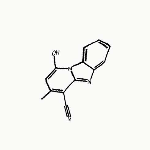 Cc1cc(O)n2c(nc3ccccc32)c1C#N